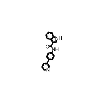 O=C(Nc1ccc(-c2cccnc2)cc1)c1c[nH]c2ccccc12